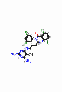 N#Cc1c(N)nc(N)nc1NCCCc1nc2c(Cl)ccc(F)c2c(=O)n1-c1cc(F)cc(F)c1